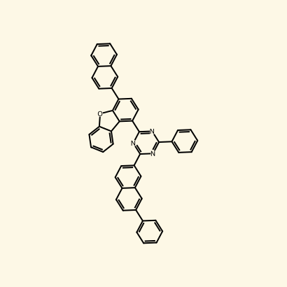 c1ccc(-c2ccc3ccc(-c4nc(-c5ccccc5)nc(-c5ccc(-c6ccc7ccccc7c6)c6oc7ccccc7c56)n4)cc3c2)cc1